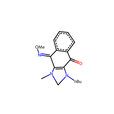 CCCCN1CN(C)C2=C1C(=O)c1ccccc1C2=NOC